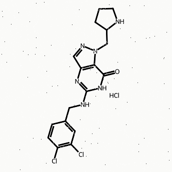 Cl.O=c1[nH]c(NCc2ccc(Cl)c(Cl)c2)nc2cnn(CC3CCCN3)c12